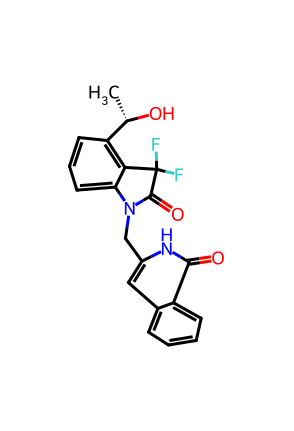 C[C@H](O)c1cccc2c1C(F)(F)C(=O)N2Cc1cc2ccccc2c(=O)[nH]1